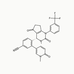 CN1C(=O)N(c2cccc(C(F)(F)F)c2)C2=C(C(=O)CC2)[C@H]1c1ccc(C#N)cc1-c1ccc(=O)n(C)c1